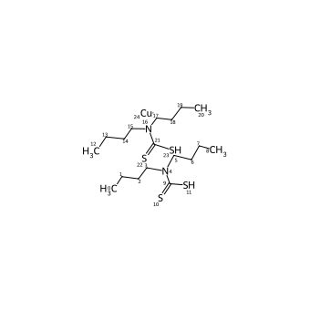 CCCCN(CCCC)C(=S)S.CCCCN(CCCC)C(=S)S.[Cu]